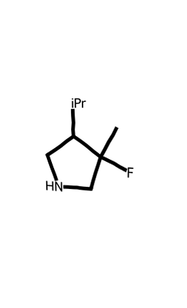 CC(C)C1CNCC1(C)F